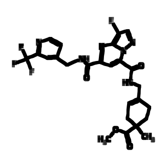 COC(=O)C1(C)CC=C(CNC(=O)c2cc(C(=O)NCc3ccnc(C(F)(F)F)c3)nc3c(F)cnn23)CC1